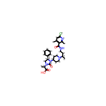 Cc1cc(Cl)nc(C)c1C(=O)NCCC(C)N1CCC(N2C(=O)N(C(C)C(=O)O)C[C@H]2c2ccccc2)CC1